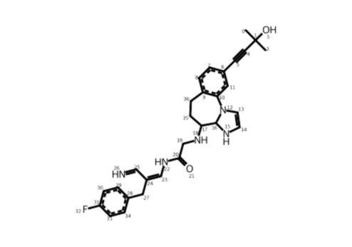 CC(C)(O)C#Cc1ccc2c(c1)N1C=CNC1C(NCC(=O)N/C=C(\C=N)Cc1ccc(F)cc1)CC2